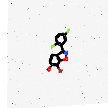 [O]c1ccc2c(-c3cc(F)ccc3F)noc2c1Br